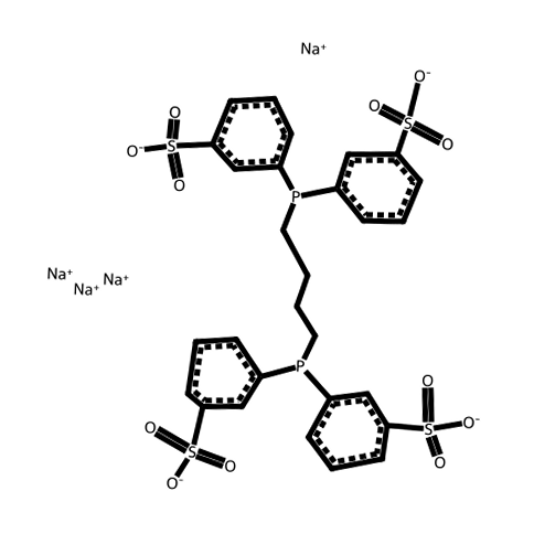 O=S(=O)([O-])c1cccc(P(CCCCP(c2cccc(S(=O)(=O)[O-])c2)c2cccc(S(=O)(=O)[O-])c2)c2cccc(S(=O)(=O)[O-])c2)c1.[Na+].[Na+].[Na+].[Na+]